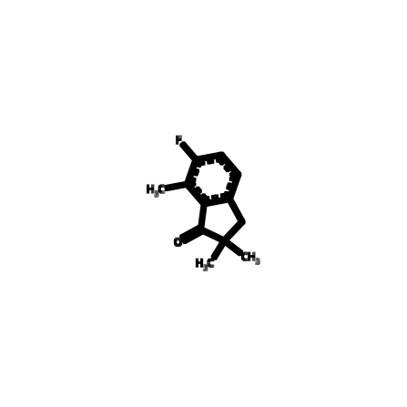 Cc1c(F)ccc2c1C(=O)C(C)(C)C2